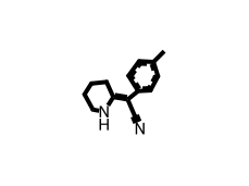 Cc1ccc(C(C#N)=C2CCCCN2)cc1